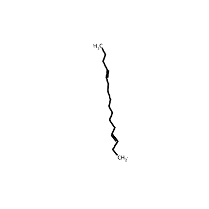 [CH2]CC=CCCCCCCCC=CCCC